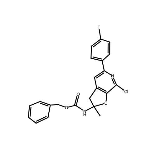 CC1(NC(=O)OCc2ccccc2)Cc2cc(-c3ccc(F)cc3)nc(Cl)c2O1